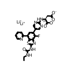 CCNC(=O)Nc1nc2c(F)c(-c3cnc(N[C@@H](CC(=O)[O-])C(=O)[O-])nc3)cc(-c3ccccn3)c2s1.[Li+].[Li+]